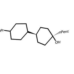 CCCCC[C@]1(O)CC[C@@H](C2CCC(CCC)CC2)CC1